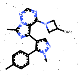 COC1CN(c2ncnn3c(C)nc(-c4cnn(C)c4-c4ccc(C)cc4)c23)C1